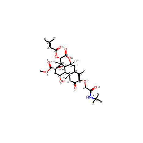 COC(=O)[C@@]12C[C@H](O)C3[C@@]4(C)CC(=O)C(OCC(=O)NC(C)(C)C)=C(C)C4C[C@H]4OC(=O)[C@H](OC(=O)C=C(C)C)[C@@H]1[C@@]34CO2